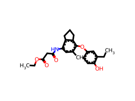 CCOC(=O)CC(=O)Nc1cc(C)c(Oc2ccc(O)c(CC)c2)c2c1CCC2